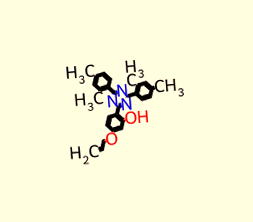 C=CCOc1ccc(-c2nc(-c3ccc(C)cc3C)nc(-c3ccc(C)cc3C)n2)c(O)c1